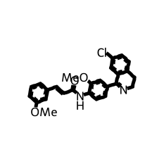 COc1cccc(C=CC(=O)Nc2ccc(C3=NCCc4ccc(Cl)cc43)cc2OC)c1